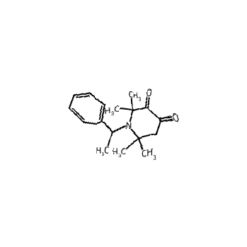 CC(c1ccccc1)N1C(C)(C)CC(=O)C(=O)C1(C)C